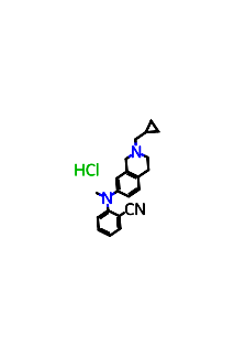 CN(c1ccc2c(c1)CN(CC1CC1)CC2)c1ccccc1C#N.Cl